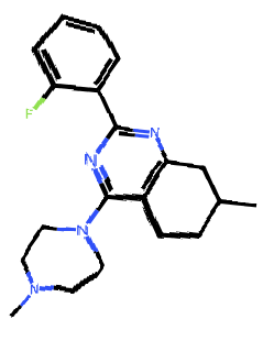 CC1CCc2c(nc(-c3ccccc3F)nc2N2CCN(C)CC2)C1